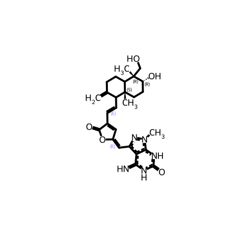 C=C1CCC2[C@](C)(CC[C@@H](O)[C@@]2(C)CO)C1/C=C/C1=CC(=C\c2nn(C)c3[nH]c(=O)[nH]c(=N)c23)/OC1=O